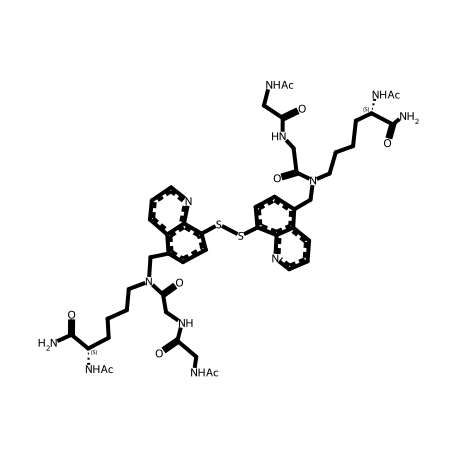 CC(=O)NCC(=O)NCC(=O)N(CCCC[C@H](NC(C)=O)C(N)=O)Cc1ccc(SSc2ccc(CN(CCCC[C@H](NC(C)=O)C(N)=O)C(=O)CNC(=O)CNC(C)=O)c3cccnc23)c2ncccc12